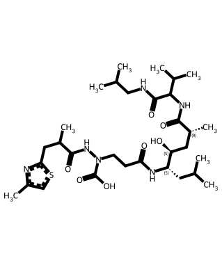 Cc1csc(CC(C)C(=O)NN(CCC(=O)N[C@@H](CC(C)C)[C@@H](O)C[C@@H](C)C(=O)NC(C(=O)NCC(C)C)C(C)C)C(=O)O)n1